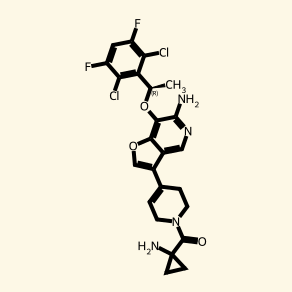 C[C@@H](Oc1c(N)ncc2c(C3=CCN(C(=O)C4(N)CC4)CC3)coc12)c1c(Cl)c(F)cc(F)c1Cl